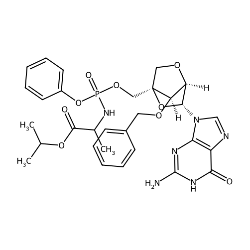 CC(C)OC(=O)C(C)NP(=O)(OC[C@@]12CO[C@@H]([C@H](n3cnc4c(=O)[nH]c(N)nc43)O1)[C@H]2OCc1ccccc1)Oc1ccccc1